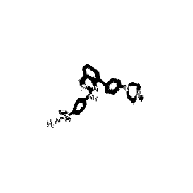 CN1CCN(c2ccc(-c3cccc4cnc(Nc5ccc(S(N)(=O)=O)cc5)nc34)cc2)CC1